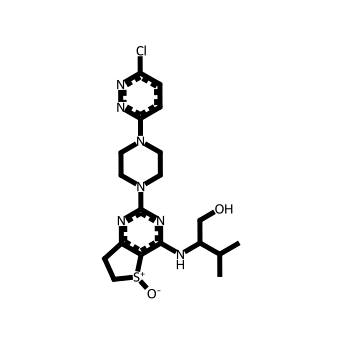 CC(C)C(CO)Nc1nc(N2CCN(c3ccc(Cl)nn3)CC2)nc2c1[S+]([O-])CC2